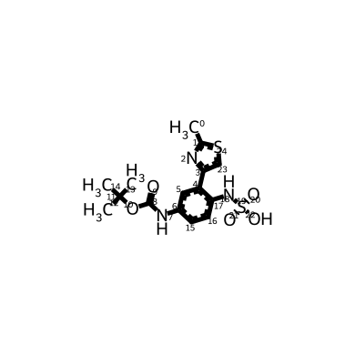 Cc1nc(-c2cc(NC(=O)OC(C)(C)C)ccc2NS(=O)(=O)O)cs1